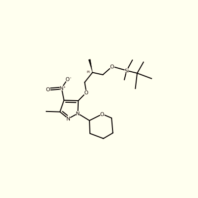 Cc1nn(C2CCCCO2)c(OC[C@@H](C)CO[Si](C)(C)C(C)(C)C)c1[N+](=O)[O-]